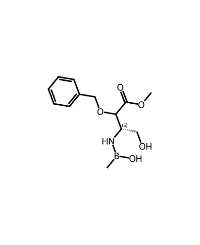 COC(=O)C(OCc1ccccc1)[C@H](CO)NB(C)O